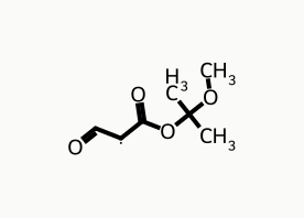 COC(C)(C)OC(=O)[CH]C=O